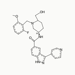 COc1cccc(F)c1CN1C[C@H](NC(=O)c2ccc3[nH]nc(-c4ccncc4)c3c2)CCC1CO